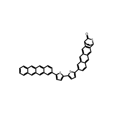 O=C1SC2C=CC1c1cc3cc4cc(-c5ccc(-c6ccc(-c7ccc8cc9cc%10ccccc%10cc9cc8c7)s6)s5)ccc4cc3cc12